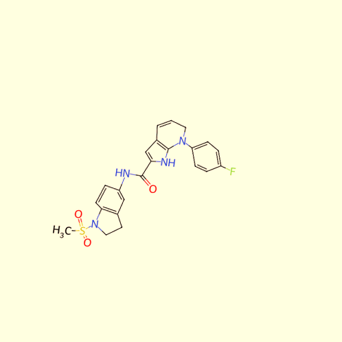 CS(=O)(=O)N1CCc2cc(NC(=O)c3cc4c([nH]3)N(c3ccc(F)cc3)CC=C4)ccc21